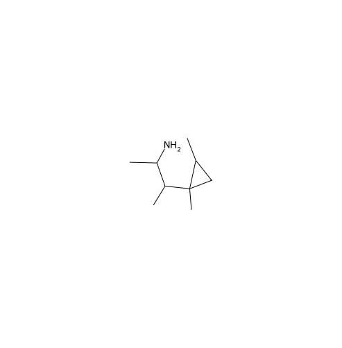 CC(N)C(C)C1(C)CC1C